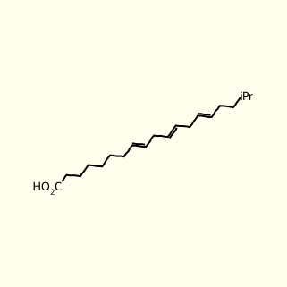 CC(C)CC/C=C/C/C=C/C/C=C/CCCCCCC(=O)O